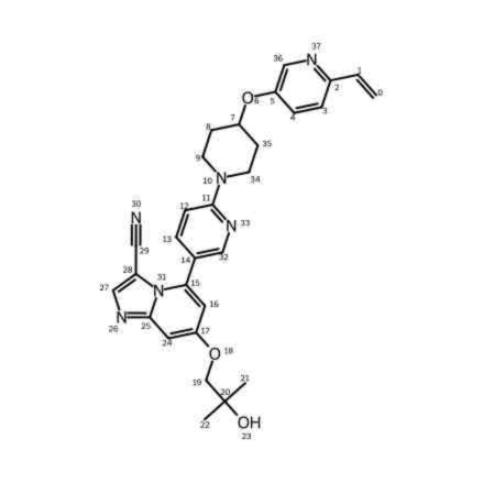 C=Cc1ccc(OC2CCN(c3ccc(-c4cc(OCC(C)(C)O)cc5ncc(C#N)n45)cn3)CC2)cn1